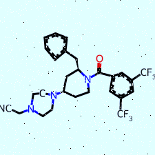 N#CCN1CCN([C@@H]2CCN(C(=O)c3cc(C(F)(F)F)cc(C(F)(F)F)c3)[C@H](Cc3ccccc3)C2)CC1